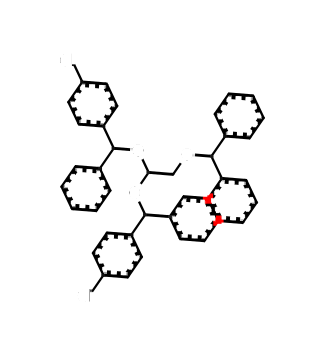 Clc1ccc(C(OC(COC(c2ccccc2)c2ccccc2)OC(c2ccccc2)c2ccc(Cl)cc2)c2ccccc2)cc1